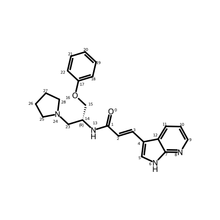 O=C(C=Cc1c[nH]c2ncccc12)N[C@@H](COc1ccccc1)CN1CCCC1